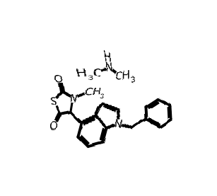 CN1C(=O)SC(=O)C1c1cccc2c1ccn2Cc1ccccc1.CNC